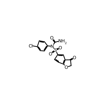 NC(=O)N(c1ccc(Cl)cc1)S(=O)(=O)c1ccc2c(c1)C(=O)CO2